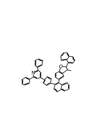 CC1c2cc(-c3c(-c4ccc(-c5cc(-c6ccccc6)nc(-c6ccccc6)c5)cc4)ccc4ccccc34)ccc2OC1c1cccc2ccccc12